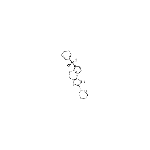 O=S(=O)(c1ccccc1)n1ccc2c3[nH]c(C4CCCCO4)nc3cnc21